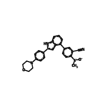 C[S+]([O-])c1ccc(-c2cccc3[nH]c(-c4ccc(N5CCOCC5)cc4)cc23)cc1C#N